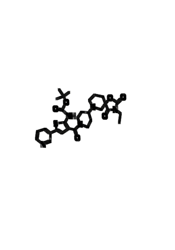 CCN1C(=O)OC2(CCCN(C3CCN(C(=O)c4cc(-c5cccnc5)sc4NC(=O)OC(C)(C)C)CC3)C2)C1=O